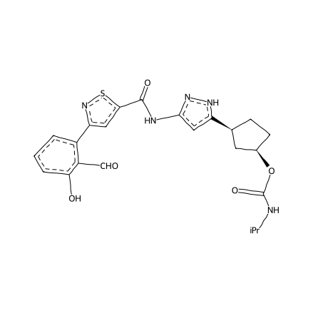 CC(C)NC(=O)O[C@@H]1CC[C@H](c2cc(NC(=O)c3cc(-c4cccc(O)c4C=O)ns3)n[nH]2)C1